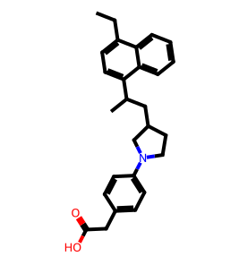 CCc1ccc(C(C)CC2CCN(c3ccc(CC(=O)O)cc3)C2)c2ccccc12